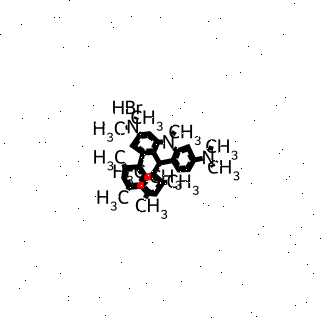 Br.Cc1cc(C)c(-c2cc(N(C)C)cc3c2C(c2c(C)cc(C)cc2C)c2ccc(N(C)C)cc2N3C)c(C)c1